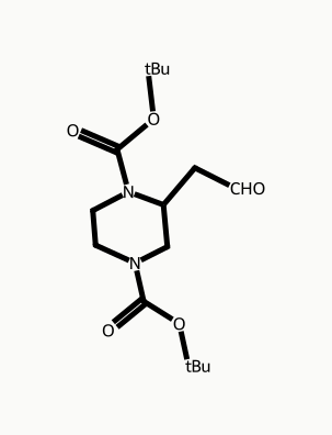 CC(C)(C)OC(=O)N1CCN(C(=O)OC(C)(C)C)C(CC=O)C1